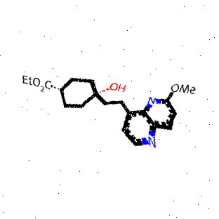 CCOC(=O)[C@H]1CC[C@](O)(CCc2ccnc3ccc(OC)nc23)CC1